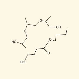 CC(O)COC(C)COC(C)CO.CCCCOC(=O)CCCO